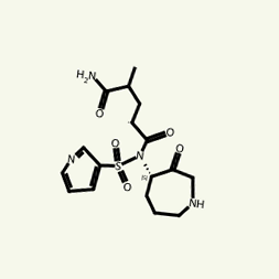 CC(C[CH]C(=O)N([C@H]1CCCNCC1=O)S(=O)(=O)c1cccnc1)C(N)=O